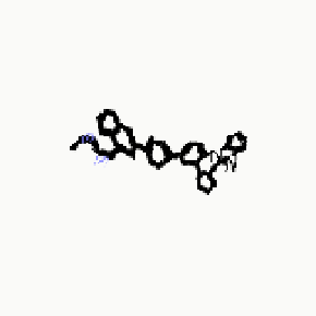 C/C=C\C=C/c1cc(-c2ccc(-c3ccc4c(c3)c3ccccc3c3nc5ccccc5n43)cc2)cc2ccccc12